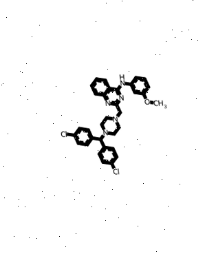 COc1cccc(Nc2nc(CN3CCN(C(c4ccc(Cl)cc4)c4ccc(Cl)cc4)CC3)nc3ccccc23)c1